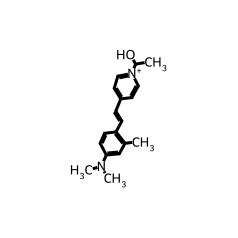 Cc1cc(N(C)C)ccc1C=Cc1cc[n+](C(C)O)cc1